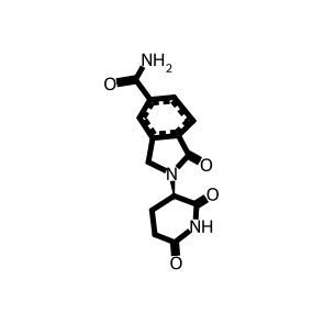 NC(=O)c1ccc2c(c1)CN([C@@H]1CCC(=O)NC1=O)C2=O